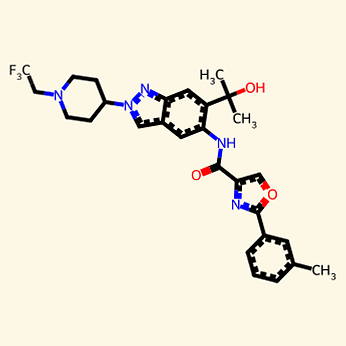 Cc1cccc(-c2nc(C(=O)Nc3cc4cn(C5CCN(CC(F)(F)F)CC5)nc4cc3C(C)(C)O)co2)c1